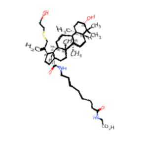 C=C(CSCCO)[C@@H]1CC[C@]2(C(=O)NCCCCCCCC(=O)NCC(=O)O)CC[C@]3(C)[C@H](CCC4[C@@]5(C)CC[C@H](O)C(C)(C)[C@@H]5CC[C@]43C)[C@@H]12